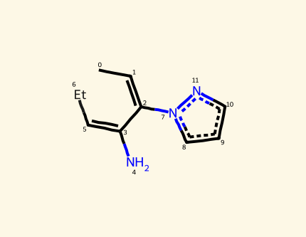 C/C=C(\C(N)=C/CC)n1cccn1